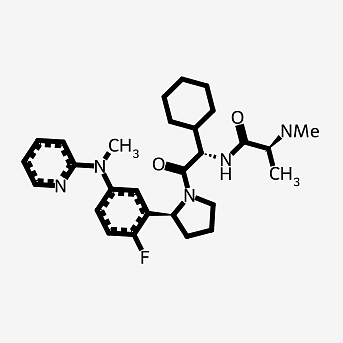 CN[C@@H](C)C(=O)N[C@H](C(=O)N1CCC[C@H]1c1cc(N(C)c2ccccn2)ccc1F)C1CCCCC1